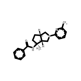 C[C@]1(NC(=O)c2ccccc2)CC[C@@H]2CN(c3cccc(C(F)(F)F)n3)C[C@@H]21